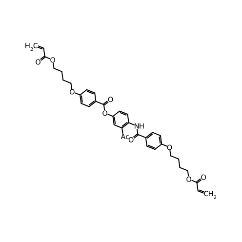 C=CC(=O)OCCCCOc1ccc(C(=O)Nc2ccc(OC(=O)c3ccc(OCCCCOC(=O)C=C)cc3)cc2C(C)=O)cc1